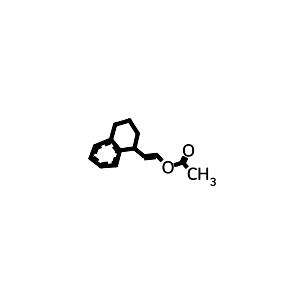 CC(=O)OC=CC1CCCc2ccccc21